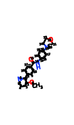 COc1cccnc1-c1ccc(C(=O)Nc2ccc(N3CCOCC3)cc2)cc1